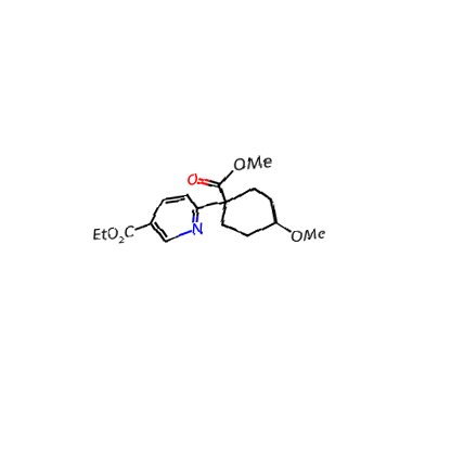 CCOC(=O)c1ccc(C2(C(=O)OC)CCC(OC)CC2)nc1